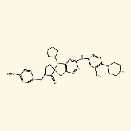 COc1ccc(CN2CCC3(Cc4cnc(Nc5cc(C(F)(F)F)c(N6CCNCC6)cn5)nc4N3C3CCCC3)C2=O)cc1